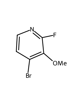 COc1c(Br)ccnc1F